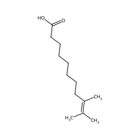 CC(C)=C(C)CCCCCCCC(=O)O